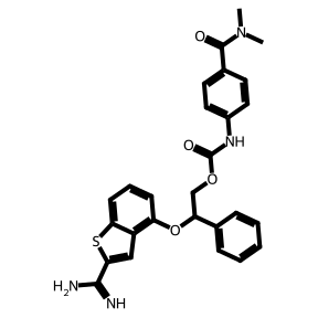 CN(C)C(=O)c1ccc(NC(=O)OCC(Oc2cccc3sc(C(=N)N)cc23)c2ccccc2)cc1